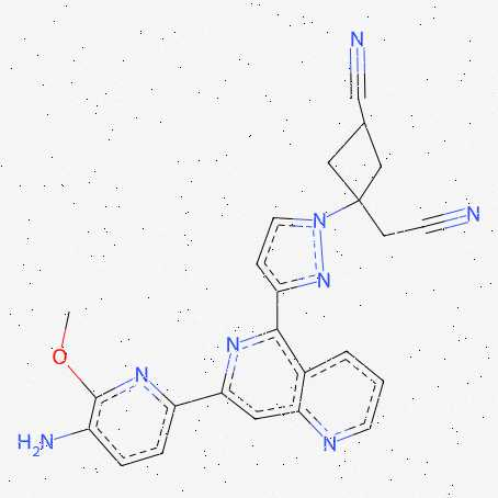 COc1nc(-c2cc3ncccc3c(-c3ccn(C4(CC#N)CC(C#N)C4)n3)n2)ccc1N